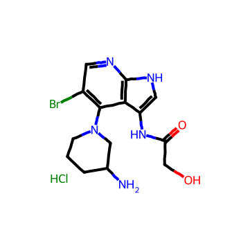 Cl.NC1CCCN(c2c(Br)cnc3[nH]cc(NC(=O)CO)c23)C1